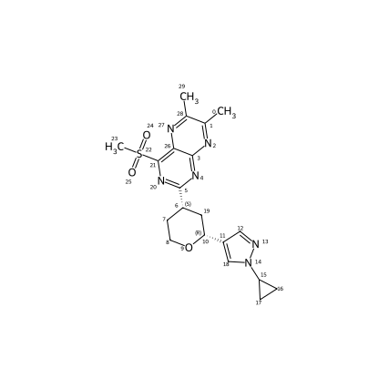 Cc1nc2nc([C@H]3CCO[C@@H](c4cnn(C5CC5)c4)C3)nc(S(C)(=O)=O)c2nc1C